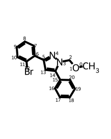 COCn1nc(-c2ccccc2Br)cc1-c1ccccc1